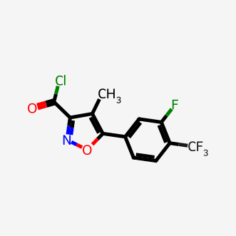 Cc1c(C(=O)Cl)noc1-c1ccc(C(F)(F)F)c(F)c1